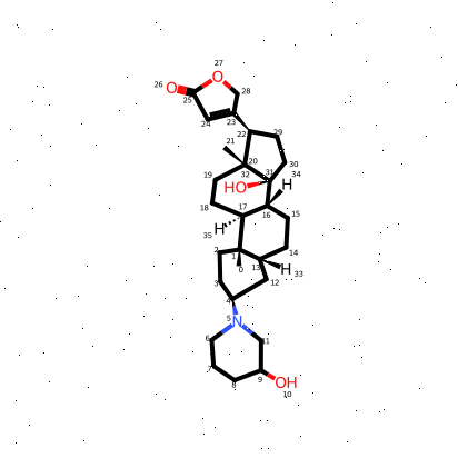 C[C@]12CC[C@H](N3CCCC(O)C3)C[C@H]1CC[C@@H]1[C@@H]2CC[C@]2(C)[C@@H](C3=CC(=O)OC3)CC[C@]12O